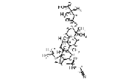 C=C(C)[C@@H]1CC[C@]2(CC(=O)NCC#N)CC[C@]3(C)[C@H](CCC4[C@@]5(C)CC[C@H](OC(=O)CC(C)(C)C(=O)O)C(C)(C)C5CC[C@]43C)[C@@H]12